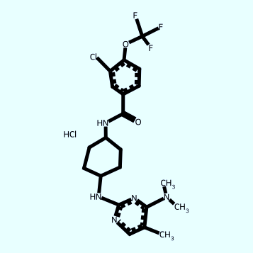 Cc1cnc(NC2CCC(NC(=O)c3ccc(OC(F)(F)F)c(Cl)c3)CC2)nc1N(C)C.Cl